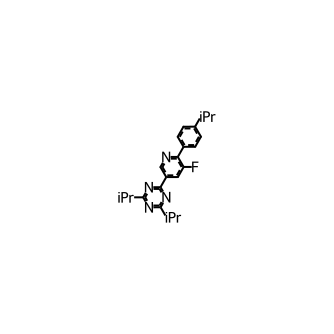 CC(C)c1ccc(-c2ncc(-c3nc(C(C)C)nc(C(C)C)n3)cc2F)cc1